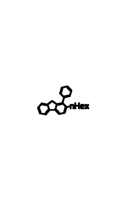 CCCCCCc1ccc2c(c1-c1ccccc1)Cc1ccccc1-2